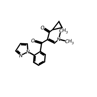 CN(C)C=C(C(=O)c1ccccc1-n1cccn1)C(=O)C1CC1